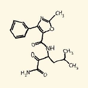 Cc1nc(-c2ccccc2)c(C(=O)NC(CC(C)C)C(=O)C(N)=O)o1